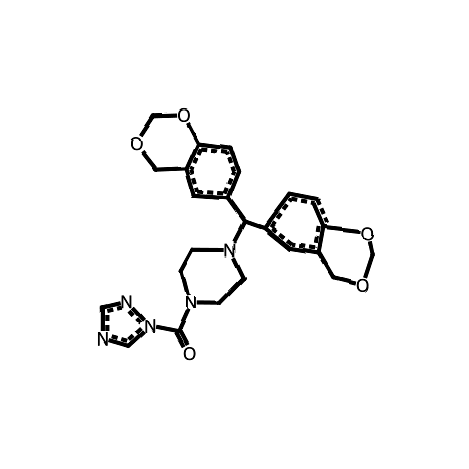 O=C(N1CCN(C(c2ccc3c(c2)COCO3)c2ccc3c(c2)COCO3)CC1)n1cncn1